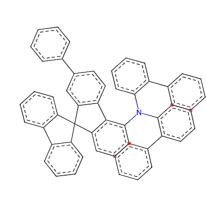 c1ccc(-c2ccc3c(c2)C2(c4ccccc4-c4ccccc42)c2cccc(N(c4ccccc4-c4ccccc4)c4ccccc4-c4ccccc4)c2-3)cc1